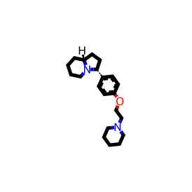 c1cc([C@H]2CC[C@H]3CCCCN32)ccc1OCCN1CCCCC1